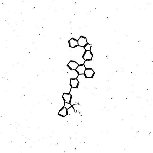 CC1(C)c2ccccc2-c2ccc(-c3ccc(-c4c5ccccc5c(-c5ccc6oc7ccc8ccccc8c7c6c5)c5ccccc45)cc3)cc21